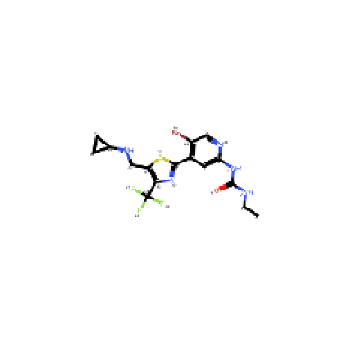 CCNC(=O)Nc1cc(-c2nc(C(F)(F)F)c(CNC3CC3)s2)c(Br)cn1